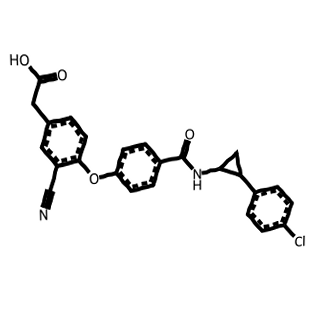 N#Cc1cc(CC(=O)O)ccc1Oc1ccc(C(=O)NC2CC2c2ccc(Cl)cc2)cc1